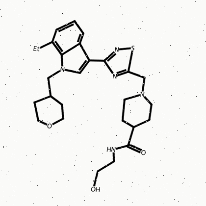 CCc1cccc2c(-c3nsc(CN4CCC(C(=O)NCCO)CC4)n3)cn(CC3CCOCC3)c12